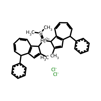 CC1=CC2=C(C=CC=CC2c2ccccc2)[CH]1[Hf+2]([CH]1C(C)=CC2=C1C=CC=CC2c1ccccc1)=[Si](C)C.[Cl-].[Cl-]